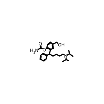 CC(C)N(CCCCC(c1ccccc1)c1cc(CO)ccc1OC(N)=O)C(C)C